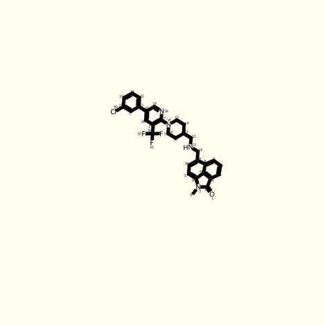 CN1C(=O)c2cccc3c(CNCC4CCN(c5ncc(-c6cccc(Cl)c6)cc5C(F)(F)F)CC4)ccc1c23